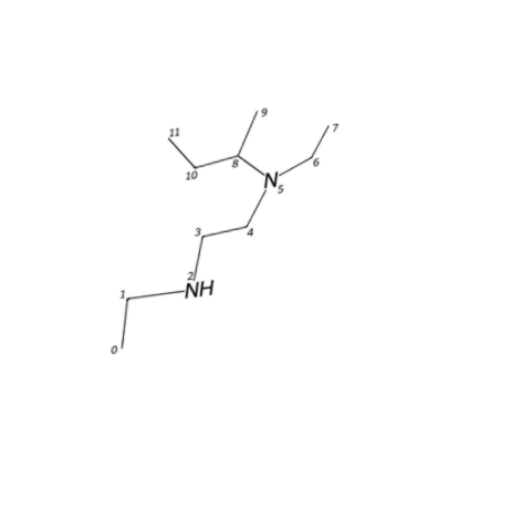 CCNCCN(CC)C(C)CC